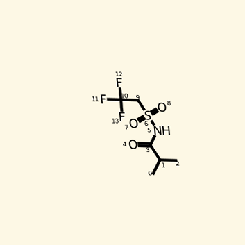 CC(C)C(=O)NS(=O)(=O)CC(F)(F)F